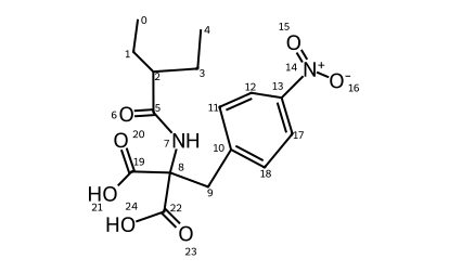 CCC(CC)C(=O)NC(Cc1ccc([N+](=O)[O-])cc1)(C(=O)O)C(=O)O